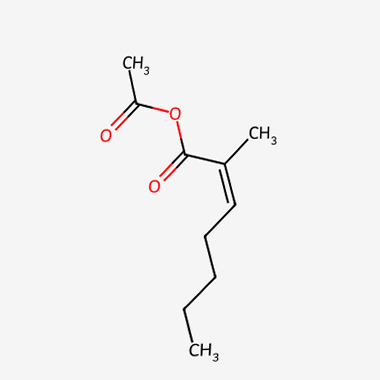 CCCCC=C(C)C(=O)OC(C)=O